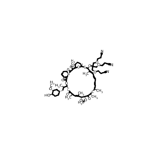 CO[C@@H]1C[C@H](C[C@@H](C)[C@@H]2CC(=O)[C@H](C)/C=C(\C)[C@@H](O)[C@@H](OC)C(=O)[C@H](C)C[C@H](C)/C=C/C=C/C=C(\C)C(OC(COCCC#N)(COCCC#N)COCCC#N)C[C@@H]3CC[C@@H](C)[C@@](O)(O3)C(=O)C(=O)N3CCCC[C@H]3C(=O)O2)CC[C@H]1O